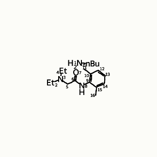 CCCCN.CCN(CC)CC(=O)Nc1c(C)cccc1C